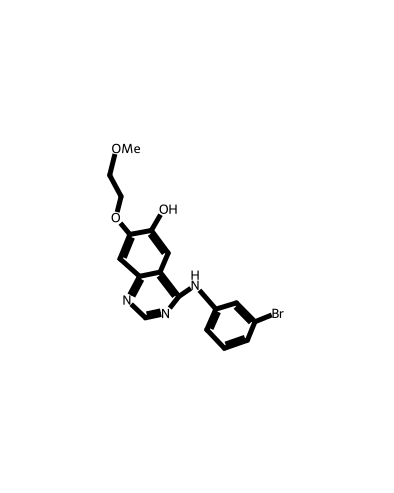 COCCOc1cc2ncnc(Nc3cccc(Br)c3)c2cc1O